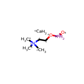 C[N+](C)(C)CCO[PH2]=O.[CaH2]